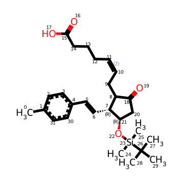 Cc1ccc(C=C[C@@H]2C(C/C=C\CCCC(=O)O)C(=O)C[C@H]2O[Si](C)(C)C(C)(C)C)cc1